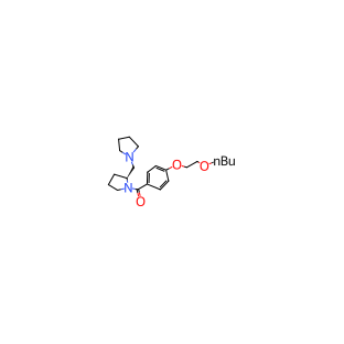 CCCCOCCOc1ccc(C(=O)N2CCC[C@H]2CN2CCCC2)cc1